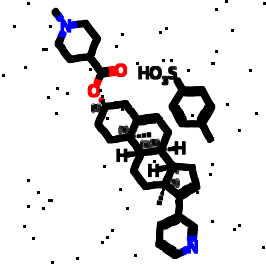 CN1CCC(C(=O)O[C@H]2CC[C@@]3(C)C(=CC[C@@H]4[C@@H]3CC[C@]3(C)C(c5cccnc5)=CC[C@@H]43)C2)CC1.Cc1ccc(S(=O)(=O)O)cc1